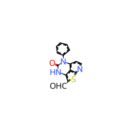 O=Cc1sc2nccc3c2c1NC(=O)N3c1ccccc1